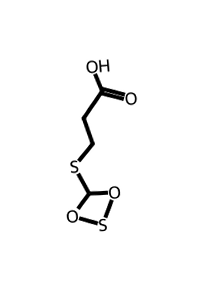 O=C(O)CCSC1OSO1